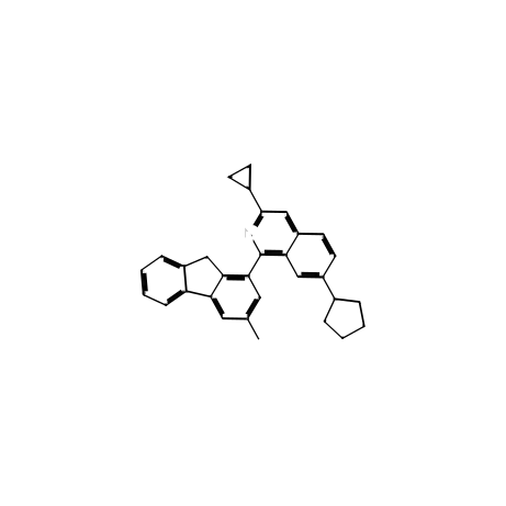 Cc1cc2c(c(-c3nc(C4CC4)cc4ccc(C5CCCC5)cc34)c1)Cc1ccccc1-2